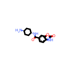 N[C@H]1CC[C@H](NC(=O)c2ccc3[nH]c(=O)oc3c2)CC1